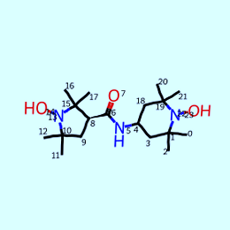 CC1(C)CC(NC(=O)[C@H]2CC(C)(C)N(O)C2(C)C)CC(C)(C)N1O